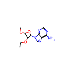 CCO[C@H]1C(OC)O[C@H]1n1cnc2c(N)ncnc21